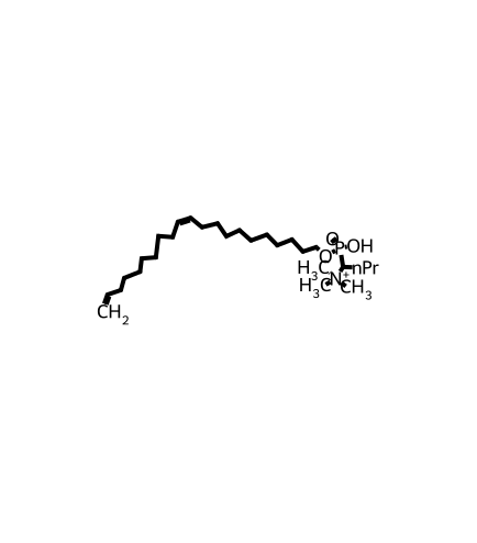 C=CCCCCCCC/C=C\CCCCCCCCCCOP(=O)(O)C(CCC)[N+](C)(C)C